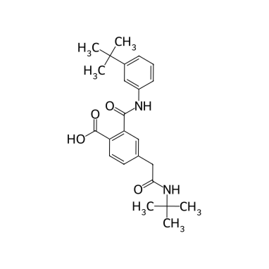 CC(C)(C)NC(=O)Cc1ccc(C(=O)O)c(C(=O)Nc2cccc(C(C)(C)C)c2)c1